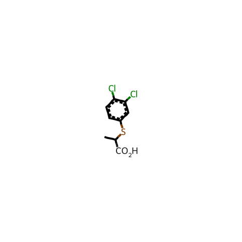 CC(Sc1ccc(Cl)c(Cl)c1)C(=O)O